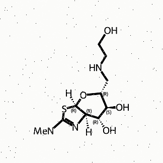 CNC1=N[C@@H]2[C@@H](O)[C@H](O)[C@@H](CNCCO)O[C@@H]2S1